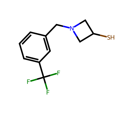 FC(F)(F)c1cccc(CN2CC(S)C2)c1